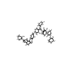 c1ccc(-c2cccc(-c3ccc(N(c4ccccc4)c4ccc(-c5ccc6c(c5)oc5ccc7nc(-c8ccccc8)sc7c56)cc4)cc3)c2)cc1